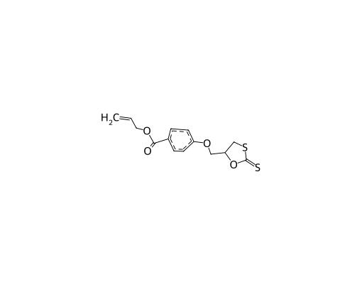 C=CCOC(=O)c1ccc(OCC2CSC(=S)O2)cc1